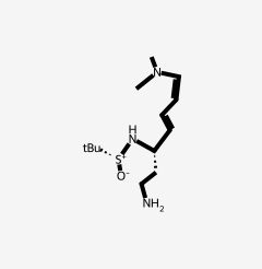 CN(C)/C=C\C=C\[C@H](CCN)N[S@+]([O-])C(C)(C)C